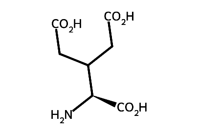 N[C@H](C(=O)O)C(CC(=O)O)CC(=O)O